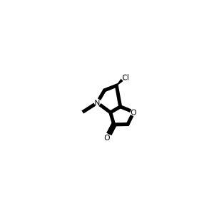 CN1C[C@@H](Cl)C2OCC(=O)C21